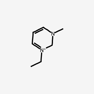 CC[N+]1=CC=CN(C)C1